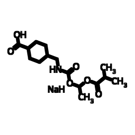 CC(OC(=O)NCC1CCC(C(=O)O)CC1)OC(=O)C(C)C.[NaH]